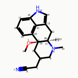 CO[C@]12CC(CC#N)CN(C)[C@@H]1Cc1c[nH]c3cccc2c13